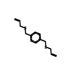 C=CCSCc1ccc(CSCC=C)cc1